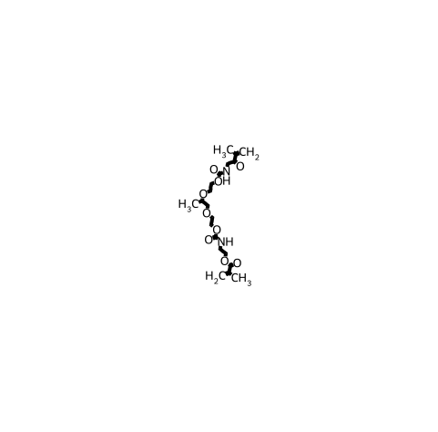 C=C(C)C(=O)CNC(=O)OCCOC(C)COCCOC(=O)NCCOC(=O)C(=C)C